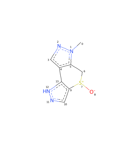 Cn1ncc2c1C[S+]([O-])c1cn[nH]c1-2